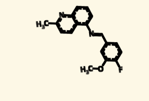 COc1cc(C=Nc2cccc3nc(C)ccc23)ccc1F